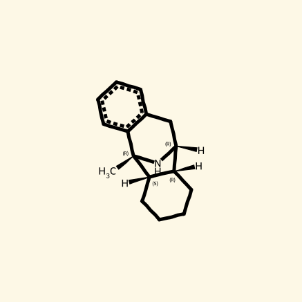 C[C@]12N[C@H](Cc3ccccc31)[C@@H]1CCCC[C@@H]12